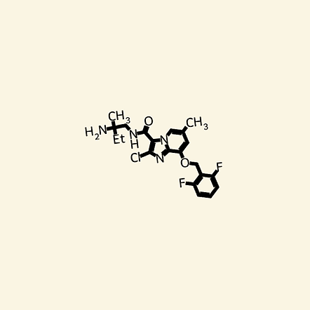 CCC(C)(N)CNC(=O)c1c(Cl)nc2c(OCc3c(F)cccc3F)cc(C)cn12